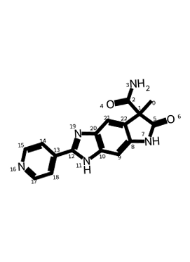 CC1(C(N)=O)C(=O)Nc2cc3[nH]c(-c4ccncc4)nc3cc21